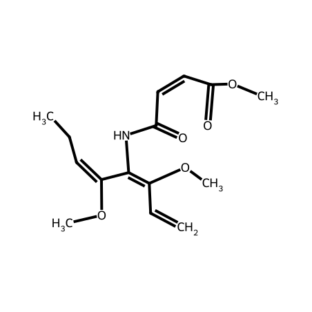 C=C/C(OC)=C(NC(=O)/C=C\C(=O)OC)\C(=C/CC)OC